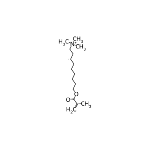 C=C(C)C(=O)OCCCCCC[CH]CC[N+](C)(C)C